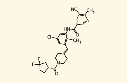 Cc1ncc(C(=O)Nc2cc(Cl)cc(C=C3CCN(C(=O)[C@@H]4CCC(F)(F)C4)CC3)c2C)cc1C#N